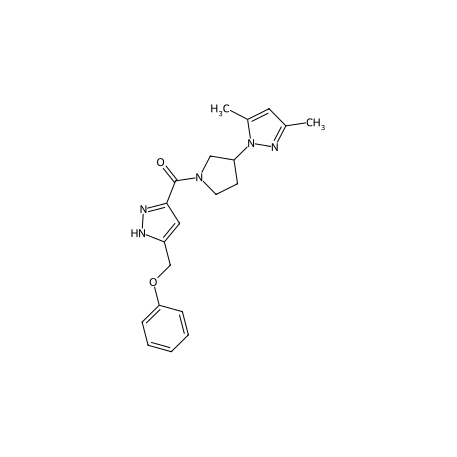 Cc1cc(C)n(C2CCN(C(=O)c3cc(COc4ccccc4)[nH]n3)C2)n1